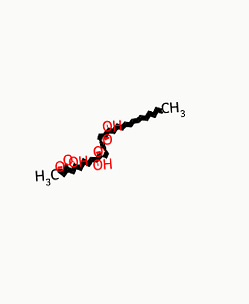 CCCCCCCCCCCCCC[C@@H](O)[C@H]1CC[C@H]([C@H]2CC[C@H]([C@H](O)CCCC[C@@H](O)CC3=C[C@H](C)OC3=O)O2)O1